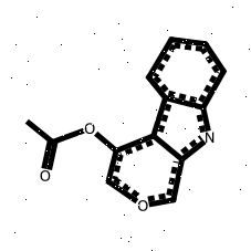 CC(=O)Oc1cocc2nc3ccccc3c1-2